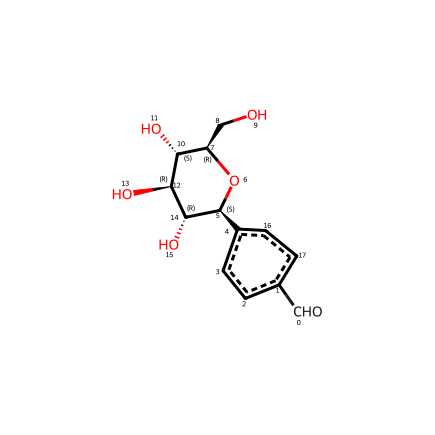 O=Cc1ccc([C@@H]2O[C@H](CO)[C@@H](O)[C@H](O)[C@H]2O)cc1